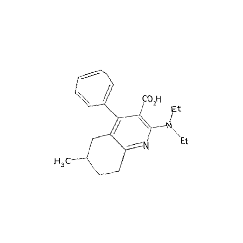 CCN(CC)c1nc2c(c(-c3ccccc3)c1C(=O)O)CC(C)CC2